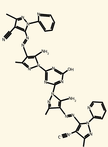 [C-]#[N+]c1c(C)nn(-c2ccccn2)c1N=Nc1c(C)nn(-c2nc(O)nc(-n3nc(C)c(N=Nc4c(C#N)c(C)nn4-c4ccccn4)c3N)n2)c1N